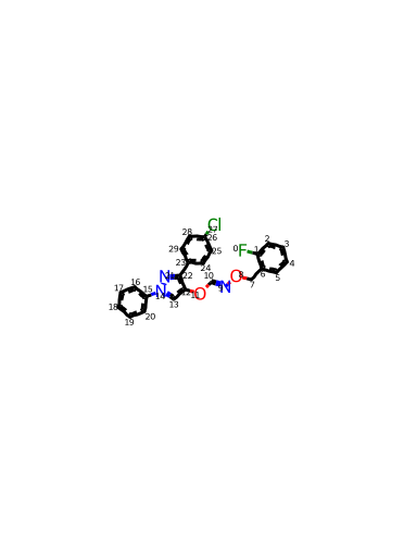 Fc1ccccc1CO/N=C/Oc1cn(-c2ccccc2)nc1-c1ccc(Cl)cc1